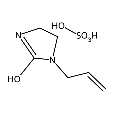 C=CCN1CCN=C1O.O=S(=O)(O)O